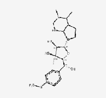 CC1C2CCN([C@@H]3O[C@H]([C@H](O)c4ccc(OC(F)(F)F)cc4)[C@@](C)(O)[C@H]3O)C2NCN1C